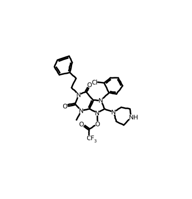 Cn1c2c(c(=O)n(CCc3ccccc3)c1=O)N(c1ccccc1Cl)C(N1CCNCC1)N2OC(=O)C(F)(F)F